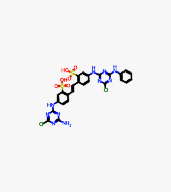 Nc1nc(Cl)nc(Nc2ccc(/C=C/c3ccc(Nc4nc(Cl)nc(Nc5ccccc5)n4)cc3S(=O)(=O)O)c(S(=O)(=O)O)c2)n1